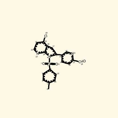 Cc1ccc(S(=O)(=O)n2c(-c3ccc(C=O)nc3)cc3c(Cl)ccnc32)cc1